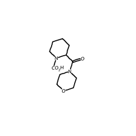 O=C(C1CCCCN1C(=O)O)N1CCOCC1